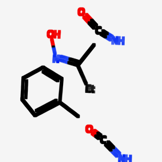 CCC(C)=NO.Cc1ccccc1.N=C=O.N=C=O